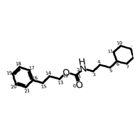 O=C(NCCCC1CCCCC1)OCCCc1ccccc1